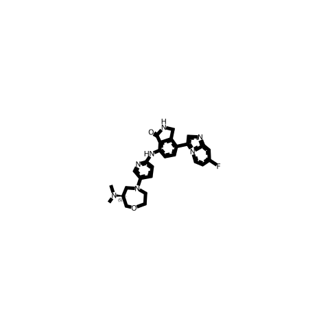 CN(C)[C@@H]1COCCN(c2ccc(Nc3ccc(-c4cnc5cc(F)ccn45)c4c3C(=O)NC4)nc2)C1